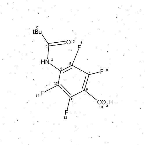 CC(C)(C)C(=O)Nc1c(F)c(F)c(C(=O)O)c(F)c1F